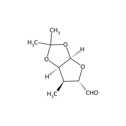 C[C@H]1[C@H]2OC(C)(C)O[C@H]2O[C@@H]1C=O